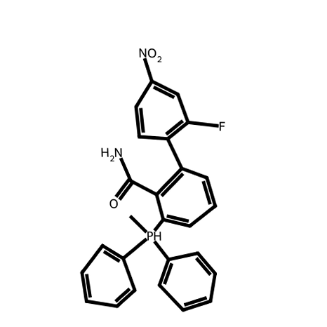 C[PH](c1ccccc1)(c1ccccc1)c1cccc(-c2ccc([N+](=O)[O-])cc2F)c1C(N)=O